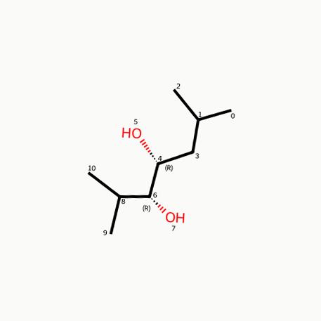 CC(C)C[C@@H](O)[C@H](O)C(C)C